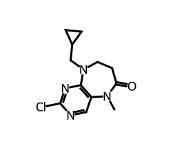 CN1C(=O)CCN(CC2CC2)c2nc(Cl)ncc21